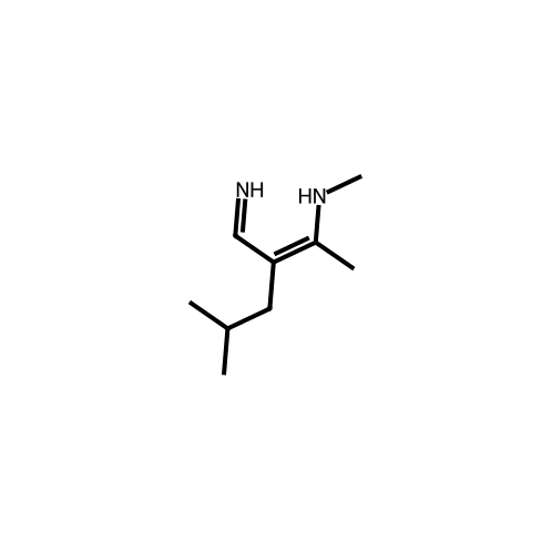 CN/C(C)=C(\C=N)CC(C)C